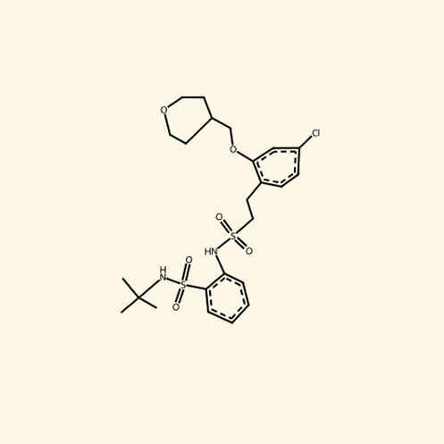 CC(C)(C)NS(=O)(=O)c1ccccc1NS(=O)(=O)CCc1ccc(Cl)cc1OCC1CCOCC1